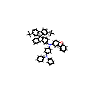 CC(C)(C)c1ccc2c(c1)C1(c3ccccc3-c3cc(N(c4ccc(N(c5ccccc5)c5ccccc5)cc4)c4ccc5oc6ccccc6c5c4)ccc31)c1cc(C(C)(C)C)ccc1-2